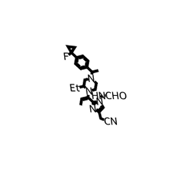 C/C=C(\c1nc(CC#N)cn1NC=O)N1CCN(C(C)c2ccc(C3(F)CC3)cc2)CC1CC